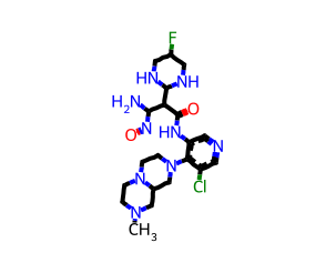 CN1CCN2CCN(c3c(Cl)cncc3NC(=O)C(C(N)N=O)C3NCC(F)CN3)CC2C1